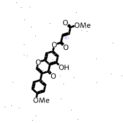 COC(=O)/C=C/C(=O)Oc1cc(O)c2c(=O)c(-c3ccc(OC)cc3)coc2c1